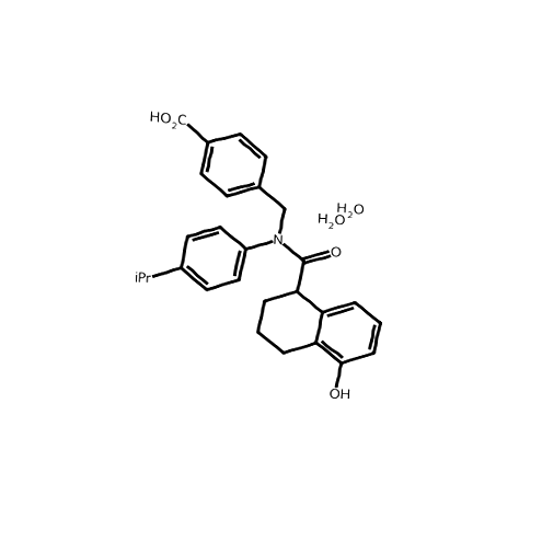 CC(C)c1ccc(N(Cc2ccc(C(=O)O)cc2)C(=O)C2CCCc3c(O)cccc32)cc1.O.O